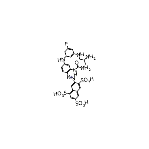 CC(N)CNC1=CC(Nc2ccc(/N=N/c3cc4c(S(=O)(=O)O)cc(S(=O)(=O)O)cc4cc3S(=O)(=O)O)c(NC(N)=O)c2)CC(F)=C1